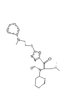 CC(C)CC(C(=O)c1nnc(SCCN(C)c2ccccc2)o1)N(C=O)C1CCCCC1